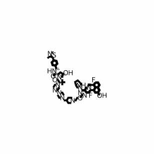 C#Cc1c(F)ccc2cc(O)cc(-c3ncc4c(N5CC6CCC(C5)N6)nc(OCCN5CCC(CN6CCN(C7=CN([C@H](C(=O)N8C[C@H](O)C[C@H]8C(=O)N[C@@H](C)c8ccc(-c9scnc9C)cc8)C(C)(C)C)CC=N7)CC6)CC5)nc4c3F)c12